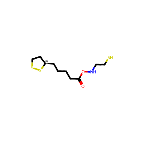 O=C(CCCC[C@@H]1CCSS1)ONCCS